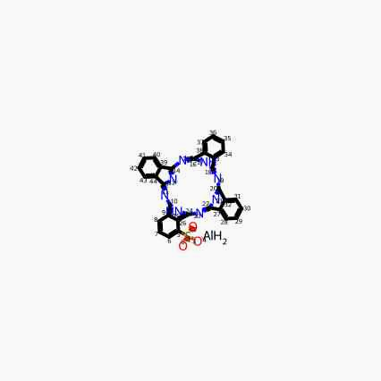 O=S(=O)([O][AlH2])c1cccc2c3nc4nc(nc5[nH]c(nc6nc(nc([nH]3)c12)-c1ccccc1-6)c1ccccc51)-c1ccccc1-4